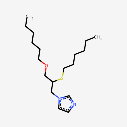 CCCCCCOCC(Cn1ccnc1)SCCCCCC